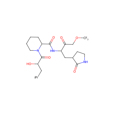 CC(C)CC(O)C(=O)N1CCCCC1C(=O)NC(CC1CCNC1=O)C(=O)COC(F)(F)F